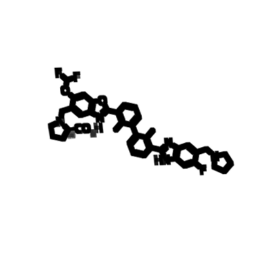 Cc1c(-c2nc3cc(CN4CCCC4)c(F)cc3[nH]2)cccc1-c1cccc(-c2nc3cc(CN4CCC[C@H]4C(=O)O)c(OC(F)F)cc3o2)c1C